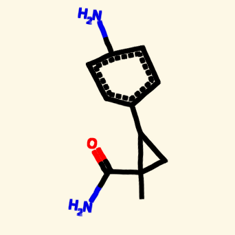 CC1(C(N)=O)CC1c1ccc(N)cc1